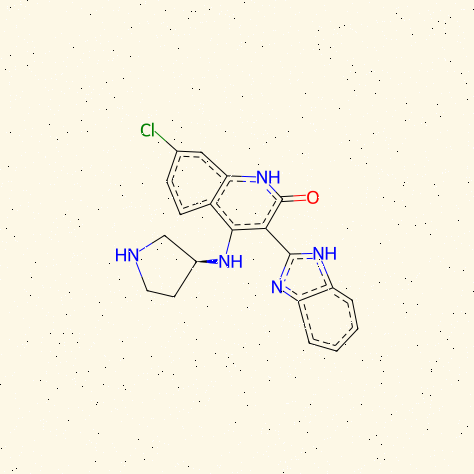 O=c1[nH]c2cc(Cl)ccc2c(N[C@H]2CCNC2)c1-c1nc2ccccc2[nH]1